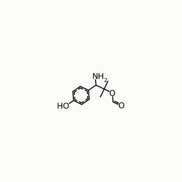 CC(C)(OC=O)C(N)c1ccc(O)cc1